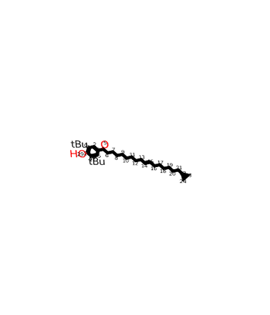 CC(C)(C)c1cc(C(=O)CCCCCCCC/C=C/CCCCCCC2CC2)cc(C(C)(C)C)c1O